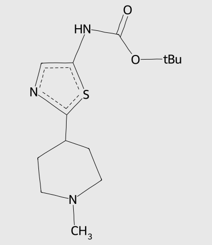 CN1CCC(c2ncc(NC(=O)OC(C)(C)C)s2)CC1